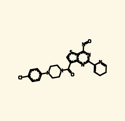 O=Nc1nc(C2=CCCC=N2)nc2c(C(=O)N3CCN(c4ccc(Cl)cc4)CC3)csc12